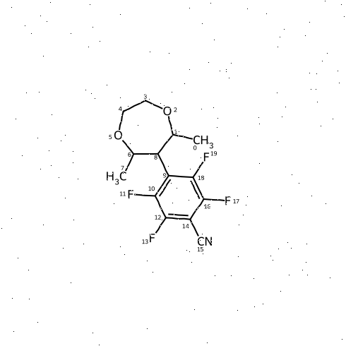 CC1OCCOC(C)C1c1c(F)c(F)c(C#N)c(F)c1F